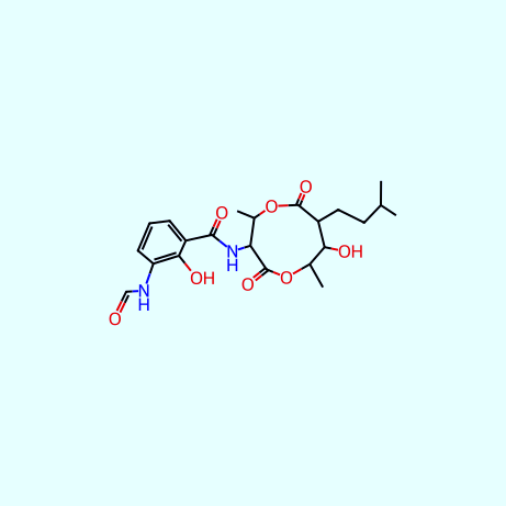 CC(C)CCC1C(=O)OC(C)C(NC(=O)c2cccc(NC=O)c2O)C(=O)OC(C)C1O